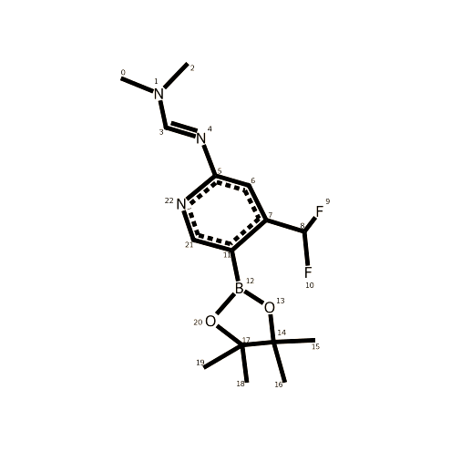 CN(C)/C=N/c1cc(C(F)F)c(B2OC(C)(C)C(C)(C)O2)cn1